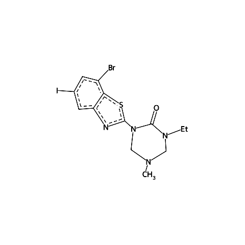 CCN1CN(C)CN(c2nc3cc(I)cc(Br)c3s2)C1=O